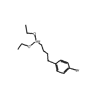 CCO[SiH](CCCCc1ccc(Br)cc1)OCC